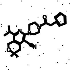 CC(C)c1nc(N2CCN(C(=O)Cc3ccccc3)CC2)c(C#N)c2c1COC(C)(C)C2